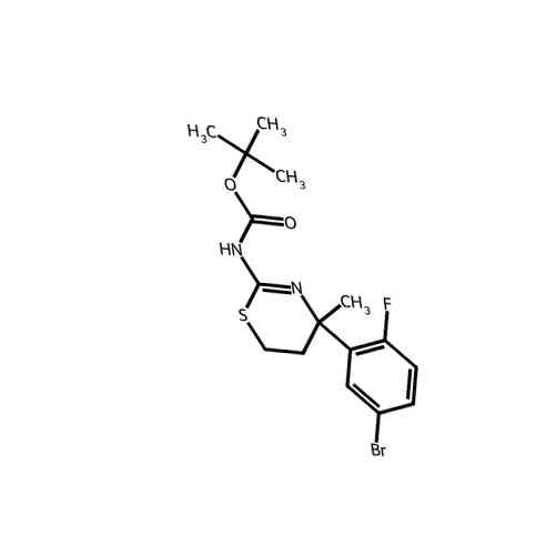 CC(C)(C)OC(=O)NC1=NC(C)(c2cc(Br)ccc2F)CCS1